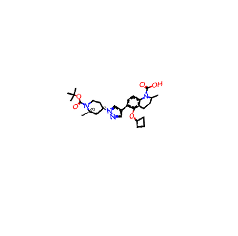 CC1CCc2c(ccc(-c3cnn([C@H]4CCN(C(=O)OC(C)(C)C)[C@H](C)C4)c3)c2OC2CCC2)N1C(=O)O